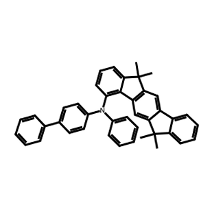 CC1(C)c2ccccc2-c2cc3c(cc21)-c1c(N(c2ccccc2)c2ccc(-c4ccccc4)cc2)cccc1C3(C)C